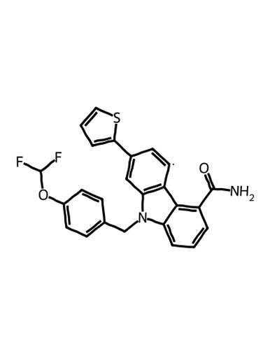 NC(=O)c1cccc2c1c1[c]cc(-c3cccs3)cc1n2Cc1ccc(OC(F)F)cc1